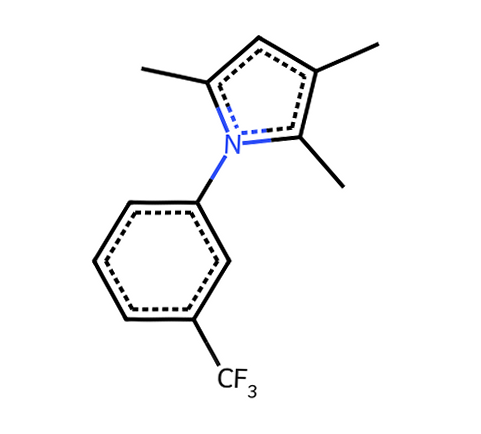 Cc1cc(C)n(-c2cccc(C(F)(F)F)c2)c1C